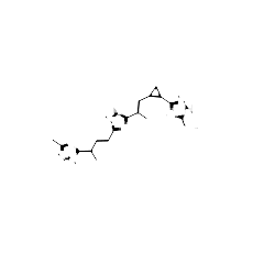 Cc1nnc(C(C)CCc2nnc(C(C)CC3CC3c3nnc(C(C)C)o3)o2)s1